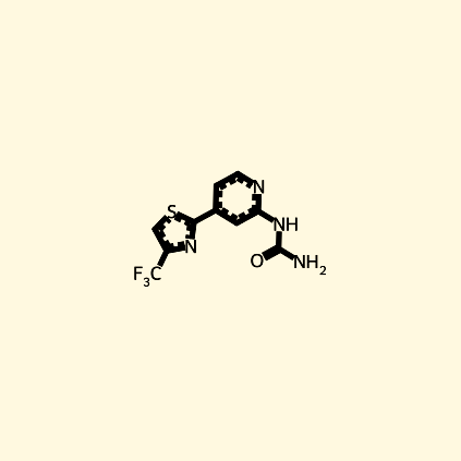 NC(=O)Nc1cc(-c2nc(C(F)(F)F)cs2)ccn1